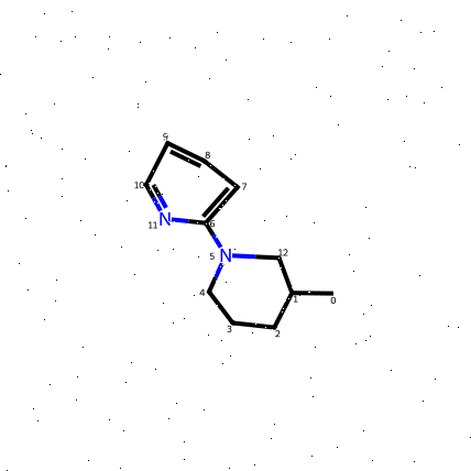 CC1CCCN(c2ccccn2)C1